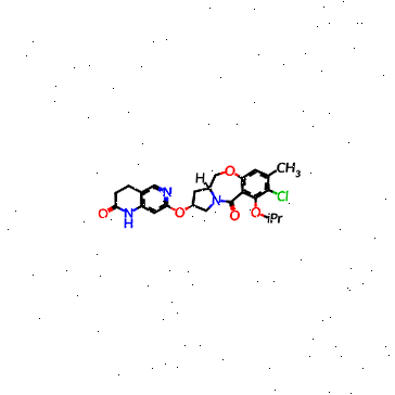 Cc1cc2c(c(OC(C)C)c1Cl)C(=O)N1C[C@@H](Oc3cc4c(cn3)CCC(=O)N4)C[C@@H]1CO2